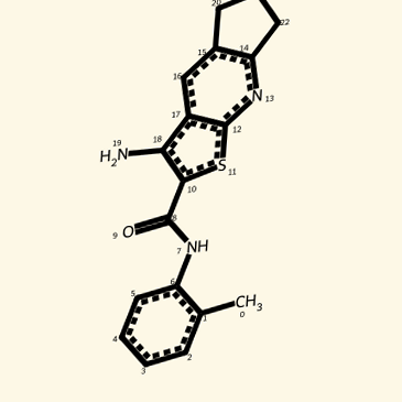 Cc1ccccc1NC(=O)c1sc2nc3c(cc2c1N)CCC3